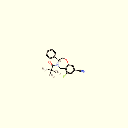 CC(C)(C)C(=O)N1Cc2c(F)cc(C#N)cc2OC[C@@H]1c1ccccc1